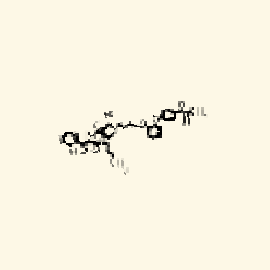 CCCCN1C(=O)[C@@H]([C@H](O)C2CCCCC2)NC(=O)C12CCN(CCCCOc1ccccc1Oc1ccc(C(=O)NC)cc1)CC2.Cl